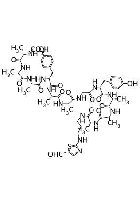 C[C@H](NC(=O)O)C(=O)N[C@@H](C)C(=O)N[C@@H](C)C(=O)N[C@@H](Cc1ccc(O)cc1)C(=O)N[C@@H](C)C(=O)N[C@@H](C)C(=O)NCC(=O)N[C@@H](Cc1ccc(O)cc1)C(=O)N[C@@H](C)C(=O)N[C@@H](C)C(=O)N[C@@H](C)C(=O)NCCCNc1ncc(C=O)s1